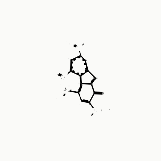 O=C1C2=Cc3cc([N+](=O)[O-])cc([N+](=O)[O-])c3C2=C([N+](=O)[O-])C=C1[N+](=O)[O-]